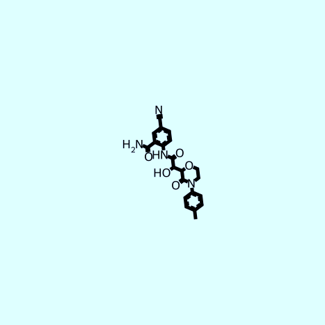 Cc1ccc(N2CCOC(C(O)C(=O)Nc3ccc(C#N)cc3C(N)=O)C2=O)cc1